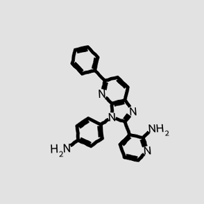 Nc1ccc(-n2c(-c3cccnc3N)nc3ccc(-c4ccccc4)nc32)cc1